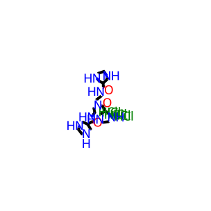 Cl.Cl.Cl.Cl.Cl.Cl.O=C(NCCN(CCNC(=O)C1CNCCNC1)C(=O)C1CNCCNC1)C1CNCCNC1